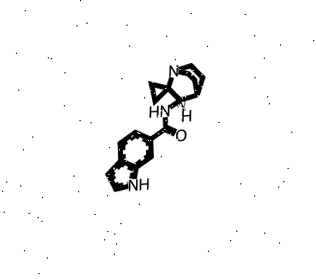 O=C(N[C@@H]1C2CCN(CC2)C12CC2)c1ccc2cc[nH]c2c1